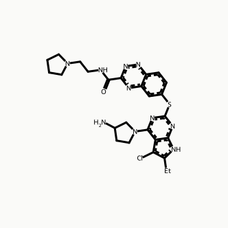 CCc1[nH]c2nc(Sc3ccc4nnc(C(=O)NCCN5CCCC5)nc4c3)nc(N3CCC(N)C3)c2c1Cl